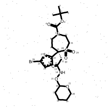 CC(C)(C)OC(=O)N1CC[C@](CC(=O)NOC2CCCCO2)(c2ccc(Br)s2)S(=O)(=O)CC1